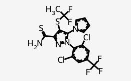 CC(F)(F)Sc1c(C(N)=S)nn(-c2c(Cl)cc(C(F)(F)F)cc2Cl)c1-n1cccc1